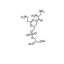 CC(=O)OC[C@H](COP(=O)(O)OCC(COC(=O)[C@@H](N)CN)OC(=O)CCN)OC(C)=O